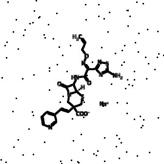 C=CCON=C(C(=O)NC1C(=O)N2CC(C=Cc3cccnc3)(C(=O)[O-])CS[C@H]12)c1nsc(N)n1.[Na+]